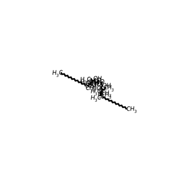 CCCCCCCCCCCCCCCC[Si](C)(C)O[Si](C)(C)C(CC)C(O)C(O)C(=O)OC(=O)C(O)C(O)C(CC)[Si](C)(C)O[Si](C)(C)CCCCCCCCCCCCCCCC